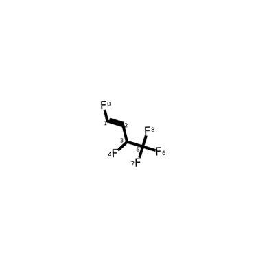 FC=CC(F)C(F)(F)F